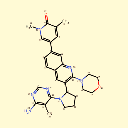 Cc1cc(-c2ccc3cc(C4CCCN4c4ncnc(N)c4C#N)c(N4CCOCC4)nc3c2)cn(C)c1=O